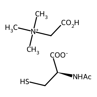 CC(=O)N[C@@H](CS)C(=O)[O-].C[N+](C)(C)CC(=O)O